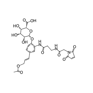 CC(=O)OC/C=C/c1ccc(O[C@@H]2O[C@H](C(=O)O)[C@H](O)[C@H](O)[C@@H]2O)c(NC(=O)CCNC(=O)CN2C(=O)C=CC2=O)c1